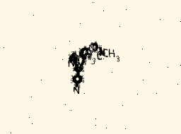 CN(C)C[C@@H]1CCN(c2ccc3c(n2)Cn2cc(-c4ccc(C#N)cc4)cc2-c2nccn2-3)C1